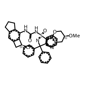 CO[C@@H]1COc2c(S(=O)(=NC(c3ccccc3)(c3ccccc3)c3ccccc3)NC(=O)Nc3c4c(cc5c3[C@@H](C)C5)CCC4)cnn2C1